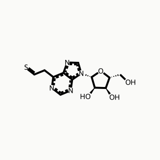 OC[C@H]1O[C@@H](n2cnc3c(CC=S)ncnc32)[C@H](O)[C@@H]1O